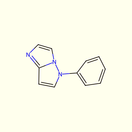 c1ccc(-n2ccc3nccn32)cc1